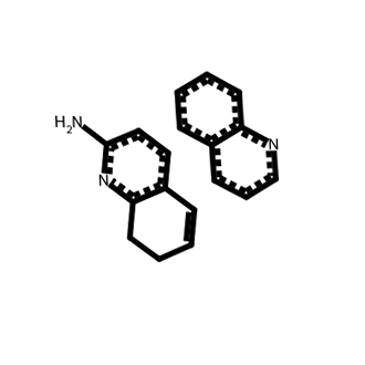 Nc1ccc2c(n1)CCC=C2.c1ccc2ncccc2c1